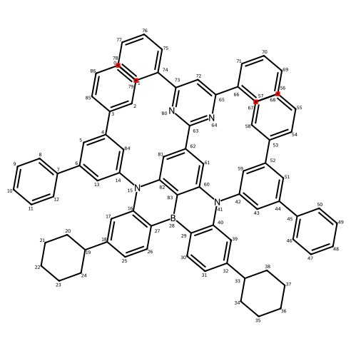 c1ccc(-c2cc(-c3ccccc3)cc(N3c4cc(C5CCCCC5)ccc4B4c5ccc(C6CCCCC6)cc5N(c5cc(-c6ccccc6)cc(-c6ccccc6)c5)c5cc(-c6nc(-c7ccccc7)cc(-c7ccccc7)n6)cc3c54)c2)cc1